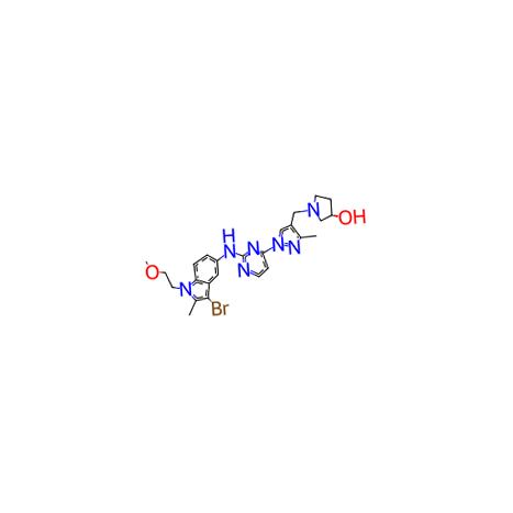 COCCn1c(C)c(Br)c2cc(Nc3nccc(-n4cc(CN5CC[C@@H](O)C5)c(C)n4)n3)ccc21